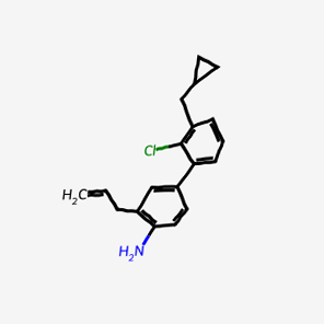 C=CCc1cc(-c2cccc(CC3CC3)c2Cl)ccc1N